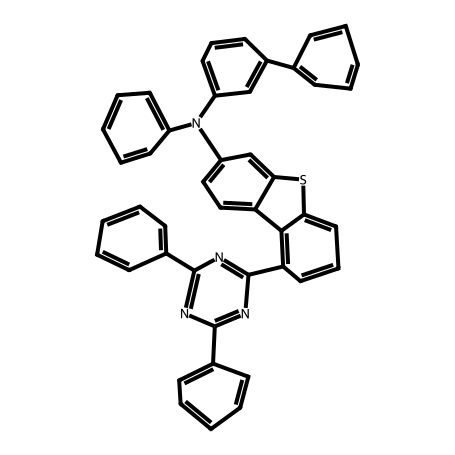 c1ccc(-c2cccc(N(c3ccccc3)c3ccc4c(c3)sc3cccc(-c5nc(-c6ccccc6)nc(-c6ccccc6)n5)c34)c2)cc1